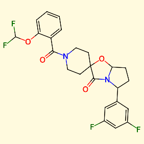 O=C(c1ccccc1OC(F)F)N1CCC2(CC1)OC1CCC(c3cc(F)cc(F)c3)N1C2=O